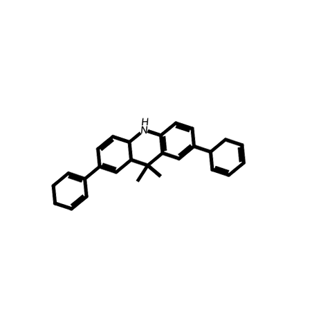 CC1(C)c2cc(C3C=CC=CC3)ccc2NC2C=CC(C3=CCCC=C3)=CC21